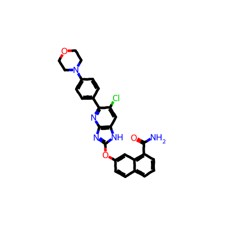 NC(=O)c1cccc2ccc(Oc3nc4nc(-c5ccc(N6CCOCC6)cc5)c(Cl)cc4[nH]3)cc12